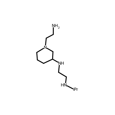 CC(C)NCCNC1CCCN(CCN)C1